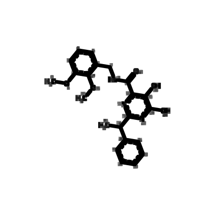 COc1cccc(CNC(=O)c2nc(C(C)c3ccccc3)nc(O)c2O)c1OC